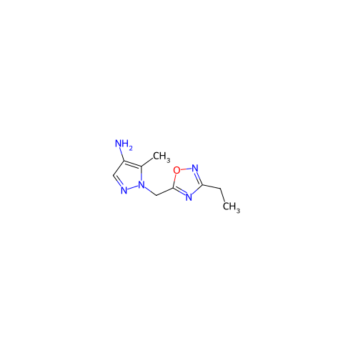 CCc1noc(Cn2ncc(N)c2C)n1